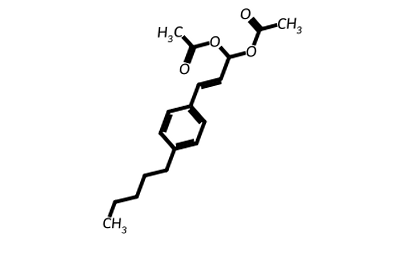 CCCCCc1ccc(/C=C/C(OC(C)=O)OC(C)=O)cc1